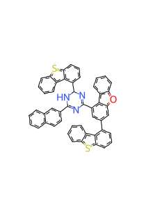 c1ccc2cc(C3=NC(c4cc(-c5cccc6sc7ccccc7c56)cc5oc6ccccc6c45)=NC(c4cccc5sc6ccccc6c45)N3)ccc2c1